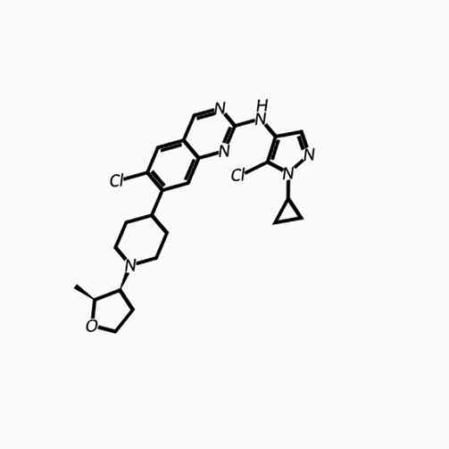 C[C@@H]1OCC[C@@H]1N1CCC(c2cc3nc(Nc4cnn(C5CC5)c4Cl)ncc3cc2Cl)CC1